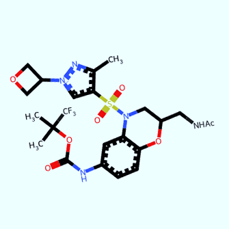 CC(=O)NCC1CN(S(=O)(=O)c2cn(C3COC3)nc2C)c2cc(NC(=O)OC(C)(C)C(F)(F)F)ccc2O1